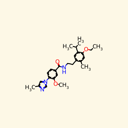 CCOc1cc(C)c(CCNC(=O)c2ccc(-n3cnc(C)c3)c(OC)c2)cc1C(C)C